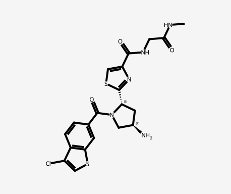 CNC(=O)CNC(=O)c1csc([C@@H]2C[C@@H](N)CN2C(=O)c2ccc3c(Cl)csc3c2)n1